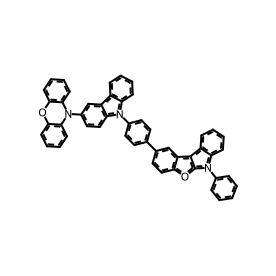 c1ccc(-n2c3ccccc3c3c4cc(-c5ccc(-n6c7ccccc7c7cc(N8c9ccccc9Oc9ccccc98)ccc76)cc5)ccc4oc32)cc1